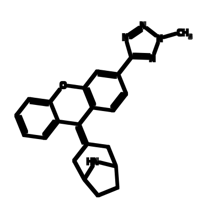 Cn1nnc(-c2ccc3c(c2)Oc2ccccc2C3=C2CC3CCC(C2)N3)n1